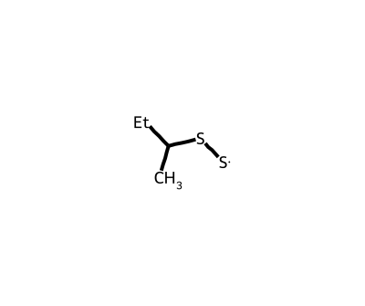 CCC(C)S[S]